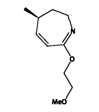 COCCOC1=NCC[C@H](C)C=C1